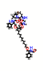 CN(CC(=O)N[C@H]1CCS[C@H]2CC(C)(C)[C@@H](C(=O)N[C@H](COCCCCCCCCCCCCOC[C@@H](NC=O)c3ccccc3)c3ccccc3)N2C1=O)C(=O)OC(C)(C)C